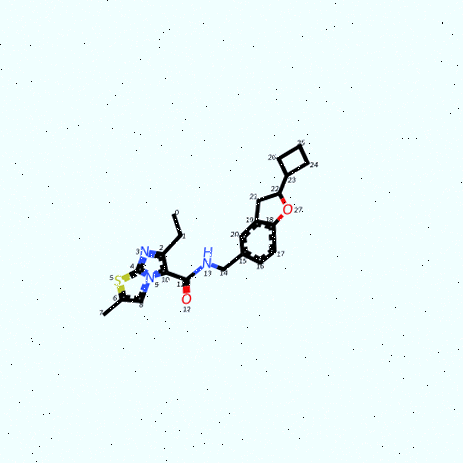 CCc1nc2sc(C)cn2c1C(=O)NCc1ccc2c(c1)CC(C1CCC1)O2